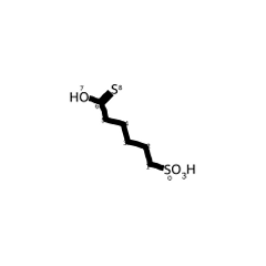 O=S(=O)(O)CCCCCC(O)=S